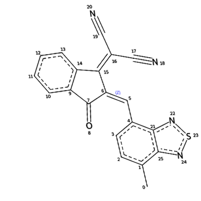 Cc1ccc(/C=C2\C(=O)c3ccccc3C2=C(C#N)C#N)c2nsnc12